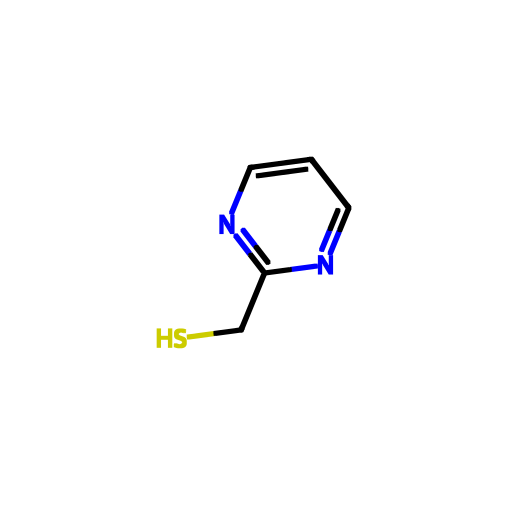 SCc1ncccn1